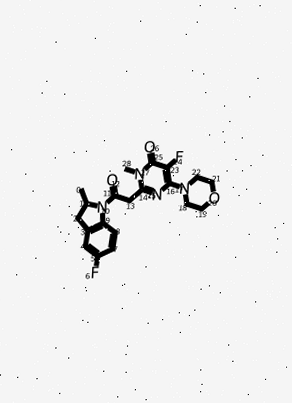 CC1Cc2cc(F)ccc2N1C(=O)Cc1nc(N2CCOCC2)c(F)c(=O)n1C